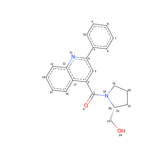 O=C(c1cc(-c2ccccc2)nc2ccccc12)N1CCC[C@@H]1CO